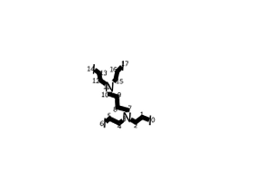 ICCN(CCI)CCCCN(CCI)CCI